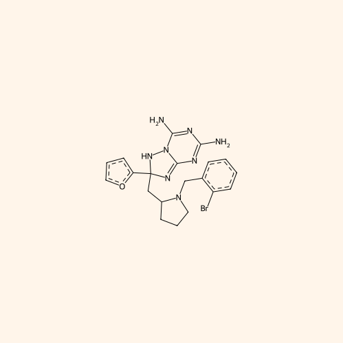 NC1=NC2=NC(CC3CCCN3Cc3ccccc3Br)(c3ccco3)NN2C(N)=N1